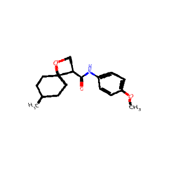 COc1ccc(NC(=O)C2COC23CCC(C)CC3)cc1